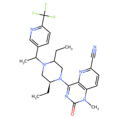 CCC1CN(c2nc(=O)n(C)c3ccc(C#N)nc23)[C@@H](CC)CN1C(C)c1ccc(C(F)(F)F)nc1